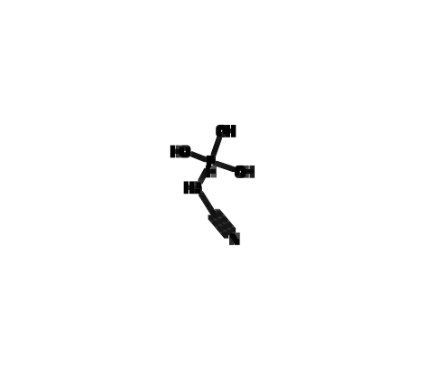 N#CB[PH](O)(O)O